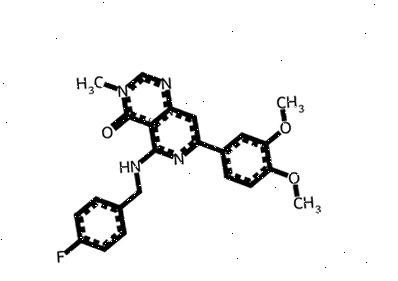 COc1ccc(-c2cc3ncn(C)c(=O)c3c(NCc3ccc(F)cc3)n2)cc1OC